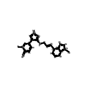 Cn1cc(-c2c[nH]nc2OC/C=C/c2cccc3c2ncn3C)ccc1=O